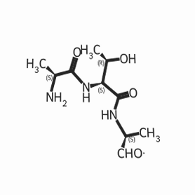 C[C@H](N)C(=O)N[C@H](C(=O)N[C@@H](C)[C]=O)[C@@H](C)O